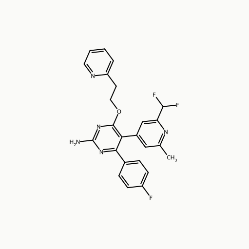 Cc1cc(-c2c(OCCc3ccccn3)nc(N)nc2-c2ccc(F)cc2)cc(C(F)F)n1